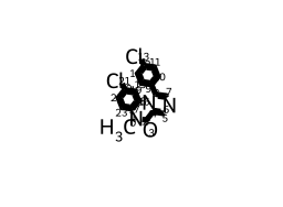 CN(C(=O)c1cncc(-c2ccc(Cl)cc2)n1)c1ccc(Cl)cc1